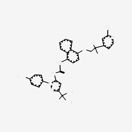 Cc1ccc(-n2nc(C(C)(C)C)cc2NC(=O)Nc2ccc(OCC(C)(C)c3ccnc(N)c3)c3ccccc23)cc1